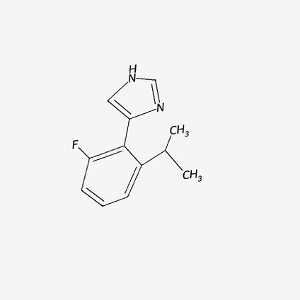 CC(C)c1cccc(F)c1-c1c[nH]cn1